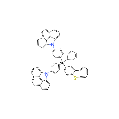 c1ccc([Si](c2ccc(-n3c4cccc5ccc6cccc3c6c54)cc2)(c2ccc(-n3c4cccc5ccc6cccc3c6c54)cc2)c2ccc3sc4ccccc4c3c2)cc1